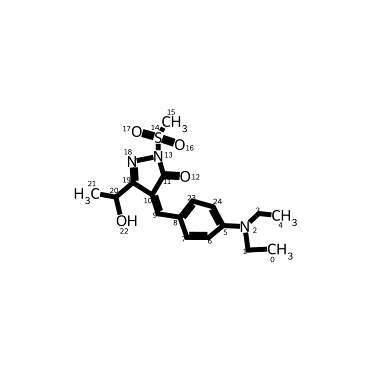 CCN(CC)c1ccc(/C=C2\C(=O)N(S(C)(=O)=O)N=C2C(C)O)cc1